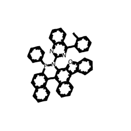 Cc1ccccc1-c1nc(N2c3c(c4ccccc4c4c3oc3ccccc34)-c3c(ccc4ccccc34)P2c2ccccc2)nc2ccccc12